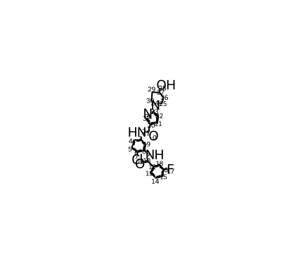 O=C(Nc1ccc(Cl)c(NC(=O)c2cccc(F)c2)c1)c1ccc(N2CCC(O)CC2)nc1